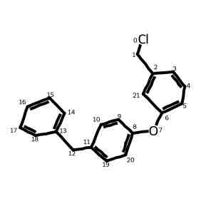 ClCc1cccc(Oc2ccc(Cc3ccccc3)cc2)c1